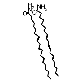 CCCCCC=CCC=CCC=CCCCCCCC(N)=O.CCCCCC=CCC=CCC=CCCCCCCC(N)=O